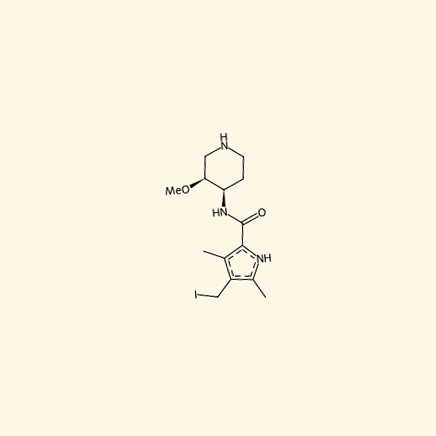 CO[C@H]1CNCC[C@H]1NC(=O)c1[nH]c(C)c(CI)c1C